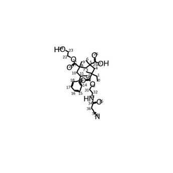 CCC(C)(CC(C)(CC(C)(CC(C)c1ccccc1)C(=O)OCCO)C(=O)O)C(=O)OCCNC(=O)CC#N